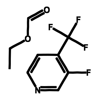 CCOC=O.Fc1cnccc1C(F)(F)F